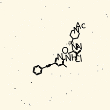 CC(=O)N1CCC([C@@H](C)n2ncc(Cl)c2C(=O)Nc2ncc(C#Cc3ccccc3)cc2C)CC1